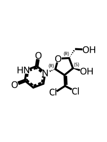 O=c1ccn([C@@H]2O[C@H](CO)[C@@H](O)C2=C(Cl)Cl)c(=O)[nH]1